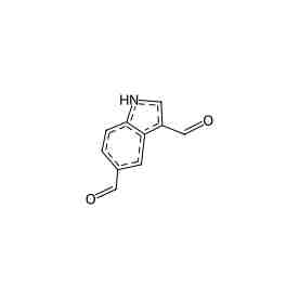 O=Cc1ccc2[nH]cc(C=O)c2c1